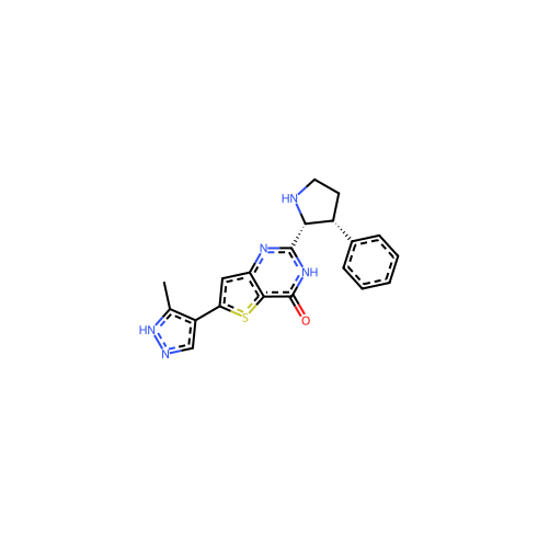 Cc1[nH]ncc1-c1cc2nc([C@@H]3NCC[C@@H]3c3ccccc3)[nH]c(=O)c2s1